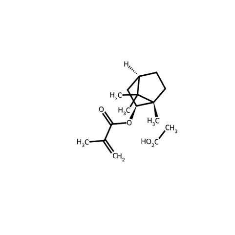 C=C(C)C(=O)O[C@H]1C[C@H]2CC[C@@]1(C)C2(C)C.CC(=O)O